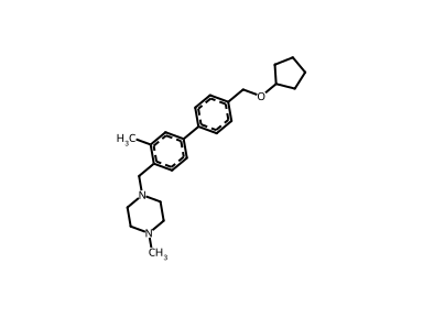 Cc1cc(-c2ccc(COC3CCCC3)cc2)ccc1CN1CCN(C)CC1